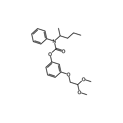 CCCC(C)N(C(=O)Oc1cccc(OCC(OC)OC)c1)c1ccccc1